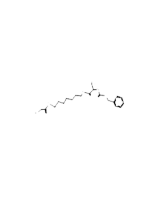 CCC(C)[CH]C(=O)NCCCCCCCNC(=O)C(NC(=O)OCc1ccccc1)C(C)CC